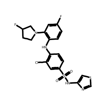 O=S(=O)(Nc1cscn1)c1ccc(Nc2ccc(F)cc2N2CCC(F)C2)c(Cl)c1